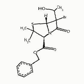 CC(O)C1(Br)C(=O)N2[C@@H](C(=O)OCc3ccccc3)C(C)(C)S[C@@H]21